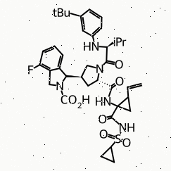 C=CC1CC1(NC(=O)[C@@H]1C[C@@H](C2c3cccc(F)c3CN2C(=O)O)CN1C(=O)[C@@H](Nc1cccc(C(C)(C)C)c1)C(C)C)C(=O)NS(=O)(=O)C1CC1